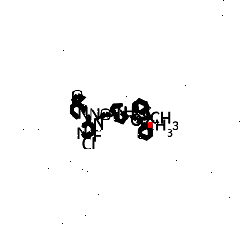 CC(C)(C)[Si](OC[C@@H]1CC[C@]2(COc3nc(N4CCCC5(COC5)C4)c4cnc(Cl)c(F)c4n3)CCCN12)(c1ccccc1)c1ccccc1